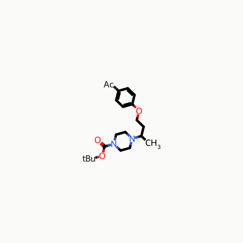 CC(=O)c1ccc(OCCC(C)N2CCN(C(=O)OC(C)(C)C)CC2)cc1